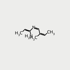 C\C=C(C)/C=N\C(N)=C\C